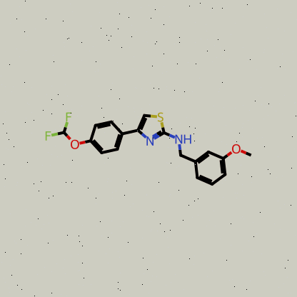 COc1cccc(CNc2nc(-c3ccc(OC(F)F)cc3)cs2)c1